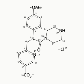 COc1ccc(N(Cc2ccc(C(=O)O)cn2)C(=O)N2CCNCC2)cc1.Cl